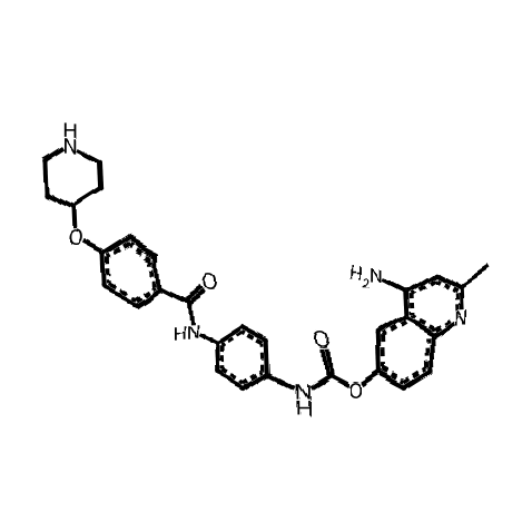 Cc1cc(N)c2cc(OC(=O)Nc3ccc(NC(=O)c4ccc(OC5CCNCC5)cc4)cc3)ccc2n1